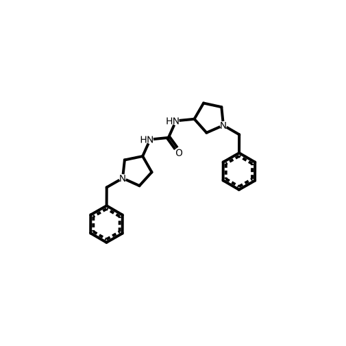 O=C(NC1CCN(Cc2ccccc2)C1)NC1CCN(Cc2ccccc2)C1